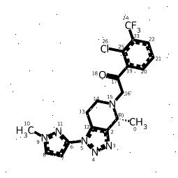 C[C@@H]1c2nnn(-c3ccn(C)n3)c2CCN1CC(=O)c1cccc(C(F)(F)F)c1Cl